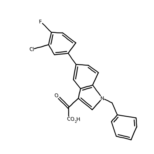 O=C(O)C(=O)c1cn(Cc2ccccc2)c2ccc(-c3ccc(F)c(Cl)c3)cc12